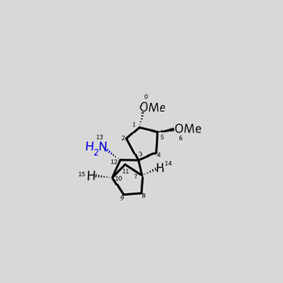 CO[C@H]1CC2(C[C@@H]1OC)[C@H]1CC[C@H](C1)[C@@H]2N